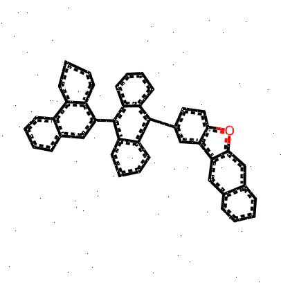 c1ccc2cc3c(cc2c1)oc1ccc(-c2c4ccccc4c(-c4cc5ccccc5c5ccccc45)c4ccccc24)cc13